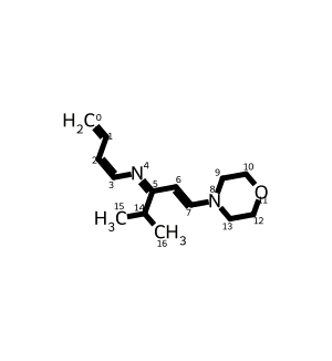 C=C\C=C/N=C(/C=C/N1CCOCC1)C(C)C